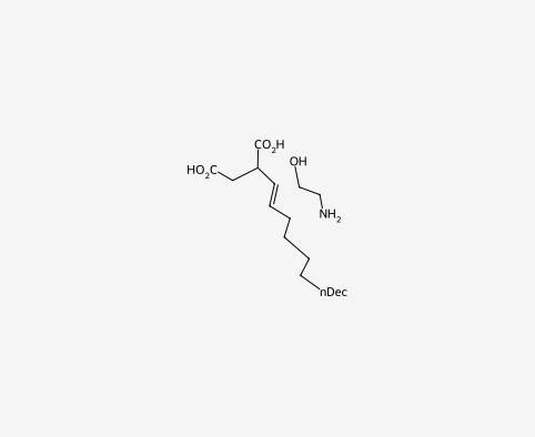 CCCCCCCCCCCCCCC=CC(CC(=O)O)C(=O)O.NCCO